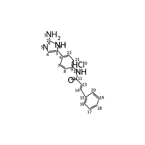 Cl.Nc1ncc(-c2ccc(NC(=O)C=Cc3ccccc3)cc2)[nH]1